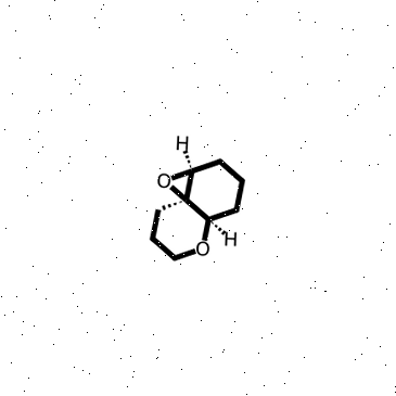 C1C[C@@H]2O[C@@]23CCCO[C@@H]3C1